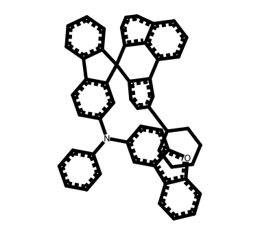 c1ccc(N(c2ccc3c(c2)C2(c4ccccc4-3)c3ccc(C4CCCCC4)cc3-c3cccc4cccc2c34)c2ccc3oc4ccccc4c3c2)cc1